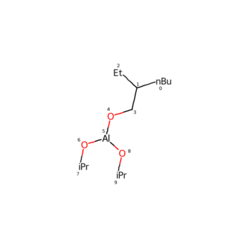 CCCCC(CC)C[O][Al]([O]C(C)C)[O]C(C)C